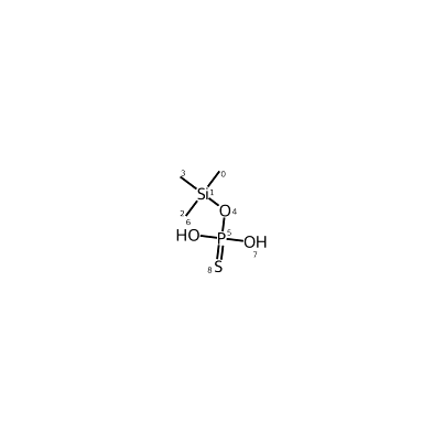 C[Si](C)(C)OP(O)(O)=S